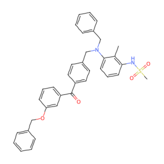 Cc1c(NS(C)(=O)=O)cccc1N(Cc1ccccc1)Cc1ccc(C(=O)c2cccc(OCc3ccccc3)c2)cc1